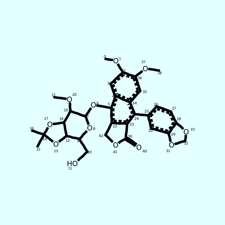 COc1cc2c(OC3OC(CO)C4OC(C)(C)OC4C3OC)c3c(c(-c4ccc5c(c4)OCO5)c2cc1OC)C(=O)OC3